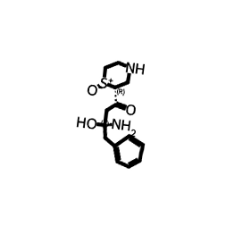 N[C@@](O)(CC(=O)[C@H]1CNCC[S+]1[O-])Cc1ccccc1